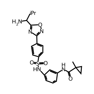 CC(C)C(N)c1nc(-c2ccc(S(=O)(=O)Nc3cccc(NC(=O)C4(C)CC4)c3)cc2)no1